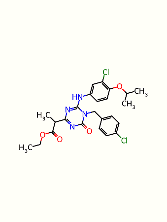 CCOC(=O)C(C)c1nc(Nc2ccc(OC(C)C)c(Cl)c2)n(Cc2ccc(Cl)cc2)c(=O)n1